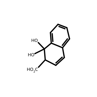 O=C(O)C1C=Cc2ccccc2C1(O)O